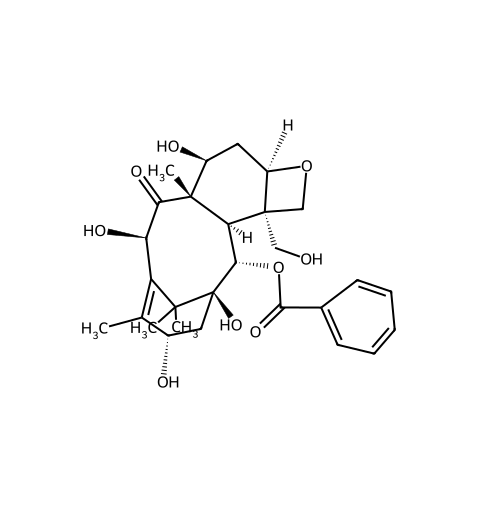 CC1=C2[C@@H](O)C(=O)[C@@]3(C)[C@H]([C@H](OC(=O)c4ccccc4)[C@](O)(C[C@@H]1O)C2(C)C)[C@]1(CO)CO[C@@H]1C[C@@H]3O